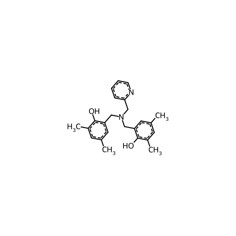 Cc1cc(C)c(O)c(CN(Cc2ccccn2)Cc2cc(C)cc(C)c2O)c1